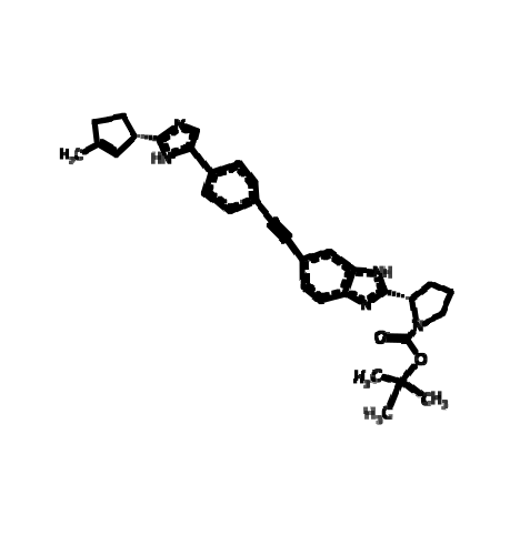 CC1=C[C@@H](c2ncc(-c3ccc(C#Cc4ccc5nc([C@@H]6CCCN6C(=O)OC(C)(C)C)[nH]c5c4)cc3)[nH]2)CC1